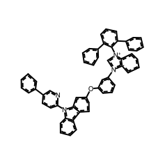 c1ccc(-c2ccc(-n3c4ccccc4c4ccc(Oc5cccc(-n6c[n+](-c7c(-c8ccccc8)cccc7-c7ccccc7)c7ccccc76)c5)cc43)nc2)cc1